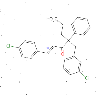 O=C(O)CCC(Cc1cccc(Cl)c1)(C(=O)/C=C/c1ccc(Cl)cc1)c1ccccc1